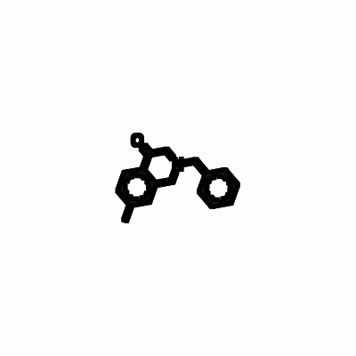 Cc1ccc2c(c1)CN(Cc1ccccc1)CC2=O